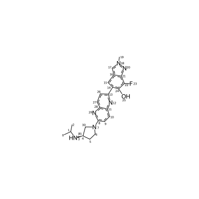 CC(C)N[C@@H]1CCN(c2ccc3nc(-c4cc5cn(C)nc5c(F)c4O)ccc3n2)C1